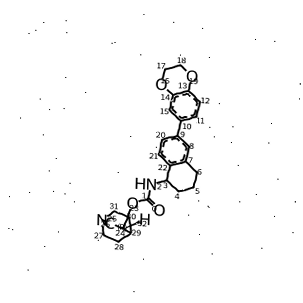 O=C(NC1CCCc2cc(-c3ccc4c(c3)OCCO4)ccc21)O[C@H]1CN2CCC1CC2